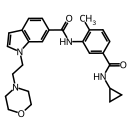 Cc1ccc(C(=O)NC2CC2)cc1NC(=O)c1ccc2ccn(CCN3CCOCC3)c2c1